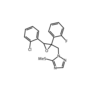 CSc1ncnn1CC1(c2ccccc2F)OC1c1ccccc1Cl